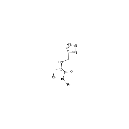 CC(C)NC(=O)[C@H](CO)NCc1nn[nH]n1